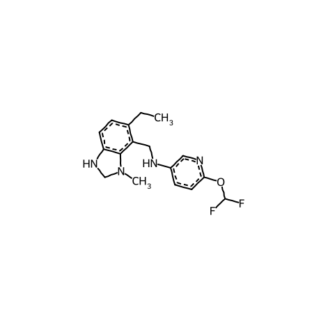 CCc1ccc2c(c1CNc1ccc(OC(F)F)nc1)N(C)CN2